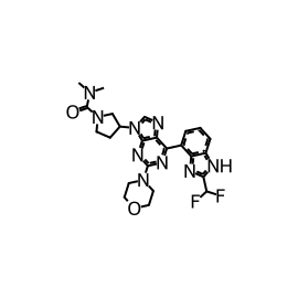 CN(C)C(=O)N1CCC(n2cnc3c(-c4cccc5[nH]c(C(F)F)nc45)nc(N4CCOCC4)nc32)C1